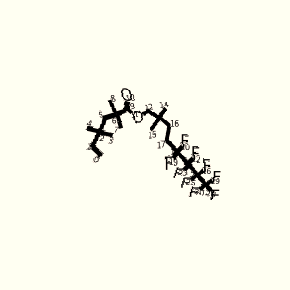 CCC(C)(C)CC(C)(C)C(=O)OCC(C)(C)CCC(F)(F)C(F)(F)C(F)(F)C(F)(F)F